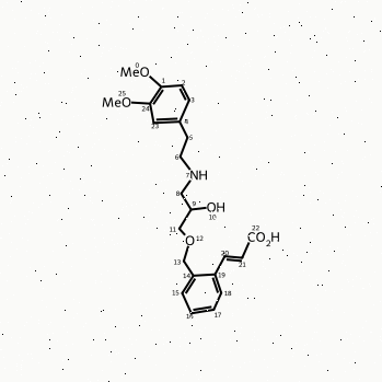 COc1ccc(CCNCC(O)COCc2ccccc2C=CC(=O)O)cc1OC